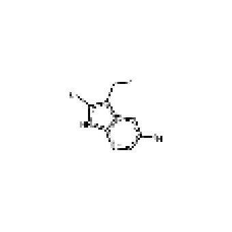 [2H]c1cnc2[nH]c(Cl)c(CC)c2c1